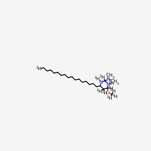 [2H]CCCCCCCCCCCCCCCCC1N([2H])C([2H])(N(C)C)N([2H])C([2H])(OC([2H])([2H])[2H])C1([2H])[2H]